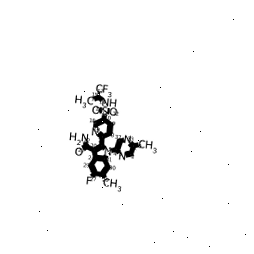 Cc1cnc(-n2c(-c3ccc(S(=O)(=O)N[C@@H](C)C(F)(F)F)cn3)c(C(N)=O)c3cc(F)c(C)cc32)cn1